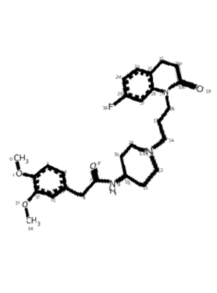 COc1ccc(CC(=O)NC2CCN(CCCN3C(=O)CCc4ccc(F)cc43)CC2)cc1OC